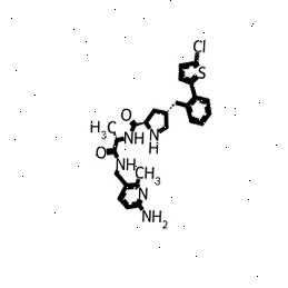 Cc1nc(N)ccc1CNC(=O)[C@H](C)NC(=O)[C@H]1C[C@H](Cc2ccccc2-c2ccc(Cl)s2)CN1